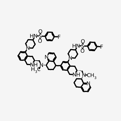 CN(C[C@H]1Cc2c(cc(C3CC[C@H](N(C)C[C@@H]4Cc5c(cccc5N5CCC(NS(=O)(=O)c6ccc(F)cc6)CC5)CN4)c4ncccc43)cc2N2CCC(NS(=O)(=O)c3ccc(F)cc3)CC2)CN1)[C@H]1CCCc2cccnc21